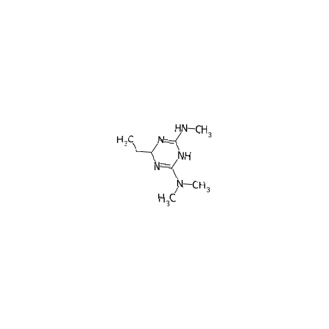 CCC1N=C(NC)NC(N(C)C)=N1